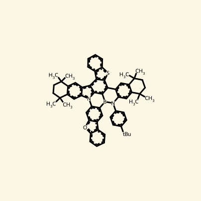 CC(C)(C)c1ccc(N2B3c4cc5c(cc4-n4c6cc7c(cc6c6c8c(sc9ccccc98)c(c3c64)-c3cc4c(cc32)C(C)(C)CCC4(C)C)C(C)(C)CCC7(C)C)oc2ccccc25)cc1